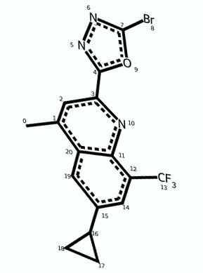 Cc1cc(-c2nnc(Br)o2)nc2c(C(F)(F)F)cc(C3CC3)cc12